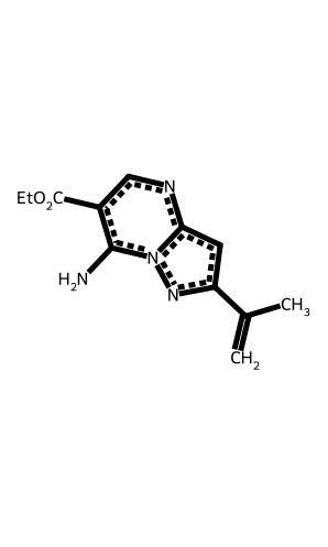 C=C(C)c1cc2ncc(C(=O)OCC)c(N)n2n1